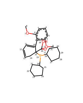 COc1cccc(OC)c1C1=CC=CCC1(C(=O)O)P(C1CCCCC1)C1CCCCC1